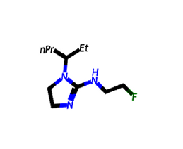 CCCC(CC)N1CCN=C1NCCF